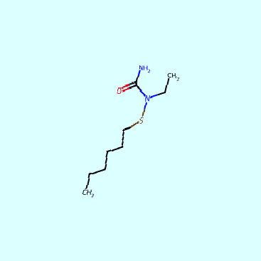 CCCCCCSN(CC)C(N)=O